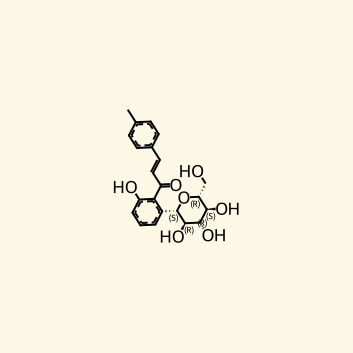 Cc1ccc(C=CC(=O)c2c(O)cccc2[C@@H]2O[C@H](CO)[C@@H](O)[C@H](O)[C@H]2O)cc1